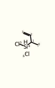 [CH2]C(C=C)[SiH](Cl)Cl